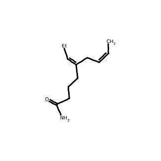 C/C=C\C/C(=C\CC)CCCC(N)=O